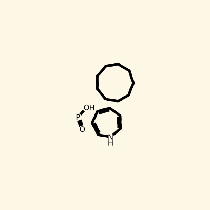 C1=CC=CNC=C1.C1CCCCCCCC1.O=PO